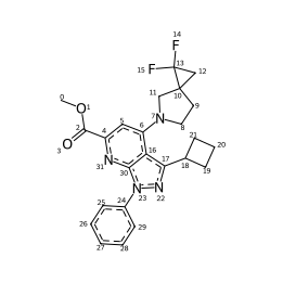 COC(=O)c1cc(N2CCC3(C2)CC3(F)F)c2c(C3CCC3)nn(-c3ccccc3)c2n1